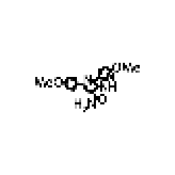 COc1ccc(-c2cc(C(N)=O)c3[nH]c4nc(OC)ccc4c3n2)cc1